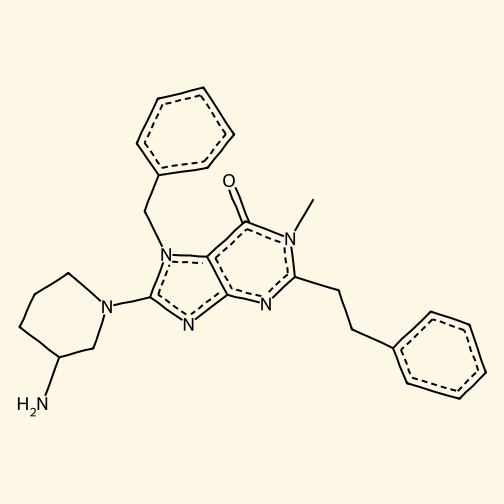 Cn1c(CCc2ccccc2)nc2nc(N3CCCC(N)C3)n(Cc3ccccc3)c2c1=O